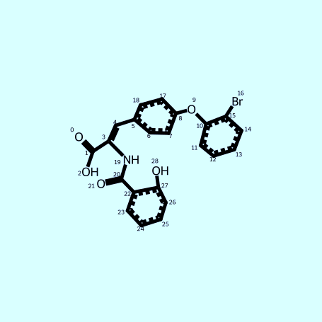 O=C(O)/C(=C/c1ccc(Oc2ccccc2Br)cc1)NC(=O)c1ccccc1O